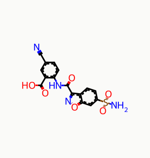 N#Cc1ccc(NC(=O)c2noc3cc(S(N)(=O)=O)ccc23)c(C(=O)O)c1